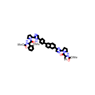 COC(=O)NC(C(=O)N1CCCC1c1ncc(-c2ccc(-c3ccc4cc(C5=NC(C6CCCN6C(=O)C(NC(=O)OC)C(C)C)=NC5)ccc4c3)cc2)[nH]1)c1ccccc1OC